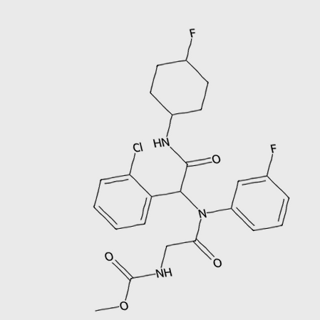 COC(=O)NCC(=O)N(c1cccc(F)c1)C(C(=O)NC1CCC(F)CC1)c1ccccc1Cl